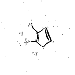 CCC1=[C]([Ti+2])CC=C1.[Cl-].[Cl-]